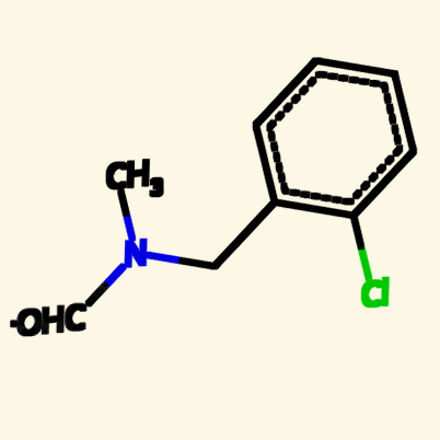 CN([C]=O)Cc1ccccc1Cl